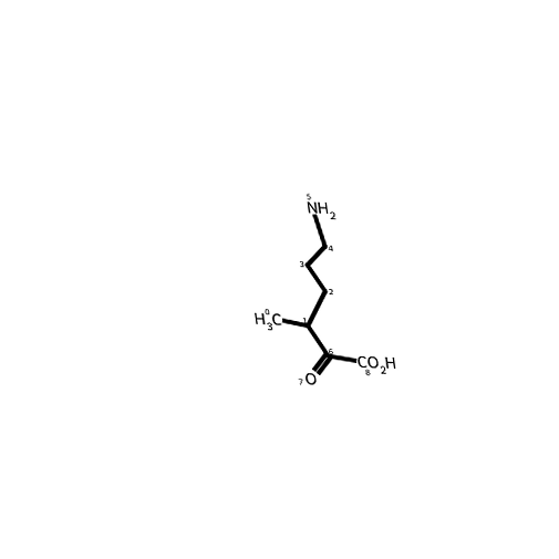 CC(CCCN)C(=O)C(=O)O